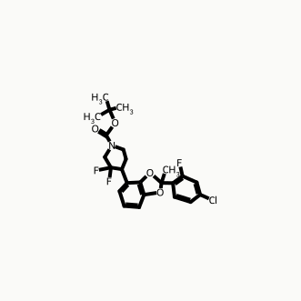 CC(C)(C)OC(=O)N1CCC(c2cccc3c2OC(C)(c2ccc(Cl)cc2F)O3)C(F)(F)C1